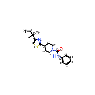 CCC(C)(CC(C)C)c1csc(C2CCN(C(=O)Nc3ccccc3)CC2)n1